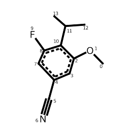 COc1cc(C#N)cc(F)c1C(C)C